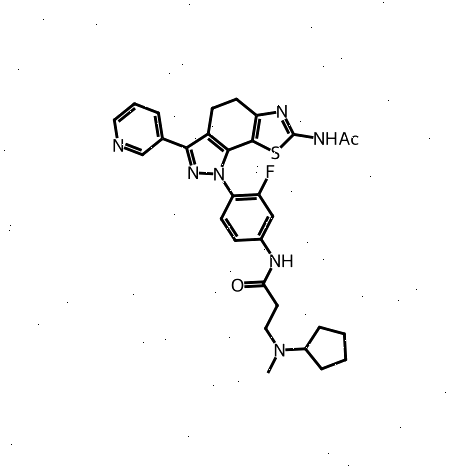 CC(=O)Nc1nc2c(s1)-c1c(c(-c3cccnc3)nn1-c1ccc(NC(=O)CCN(C)C3CCCC3)cc1F)CC2